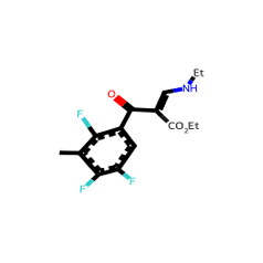 CCN/C=C(\C(=O)OCC)C(=O)c1cc(F)c(F)c(C)c1F